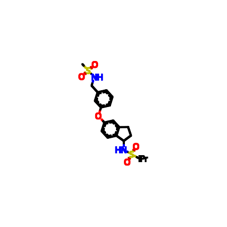 CC(C)S(=O)(=O)NC1CCc2cc(Oc3cccc(CNS(C)(=O)=O)c3)ccc21